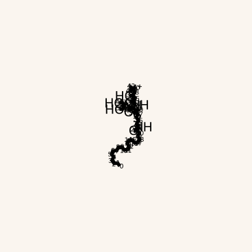 CC/C=C\C/C=C\C/C=C\C/C=C\C/C=C\C/C=C\CCC(=O)NCCSSC(C)(C)[C@H](NC(=O)CC(O)C[N+](C)(C)C)C(=O)NC(CO)CO